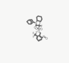 O=Nc1cccc(C(F)(F)F)c1COS(=O)(=O)C(F)(F)C(=O)N(C1CCCCC1)C1CC2CCC1C2